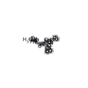 CN(c1nc(OCC23CCCN2CCC3)nc2c1CCN(c1cccc3cccc(Cl)c13)C2)[C@@H]1CCN(C(=O)/C=C/c2nc(C(C)(F)F)no2)C1